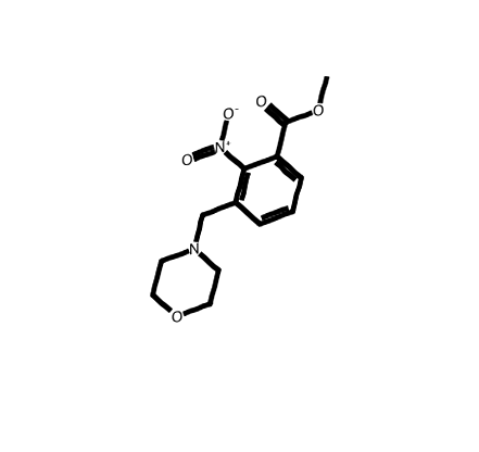 COC(=O)c1cccc(CN2CCOCC2)c1[N+](=O)[O-]